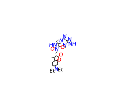 C=Nc1[nH]cnc1/C(=N\C)N1CCC2(C1)NC(=O)N(CCc1c(C)c3ccc(N(CC)CC)cc3oc1=O)C2=O